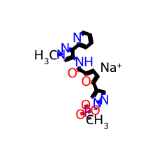 Cn1cc(NC(=O)c2ccc(-c3cnn(OP(C)(=O)[O-])c3)o2)c(-c2ccccn2)n1.[Na+]